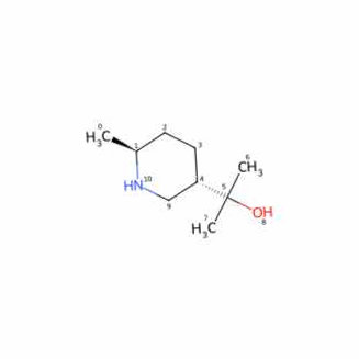 C[C@H]1CC[C@H](C(C)(C)O)CN1